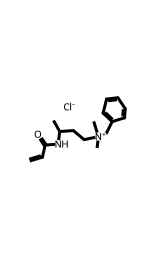 C=CC(=O)NC(C)CC[N+](C)(C)Cc1ccccc1.[Cl-]